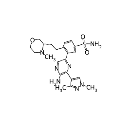 Cc1nn(C)cc1-c1nc(-c2cc(S(N)(=O)=O)ccc2CCC2COCCN2C)cnc1N